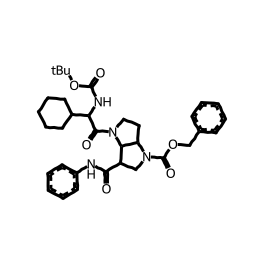 CC(C)(C)OC(=O)NC(C(=O)N1CCC2C1C(C(=O)Nc1ccccc1)CN2C(=O)OCc1ccccc1)C1CCCCC1